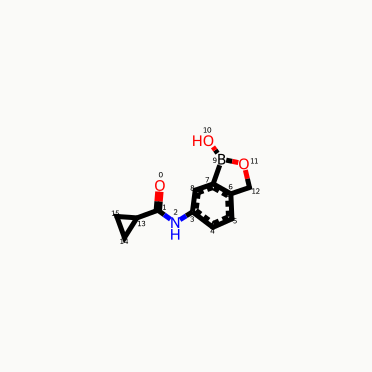 O=C(Nc1ccc2c(c1)B(O)OC2)C1CC1